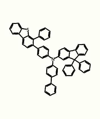 c1ccc(-c2ccc(N(c3ccc(-c4ccc5c(sc6ccccc65)c4-c4ccccc4)cc3)c3ccc4c(c3)C(c3ccccc3)(c3ccccc3)c3ccccc3-4)cc2)cc1